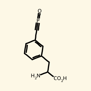 NC(Cc1cccc(C#P=O)c1)C(=O)O